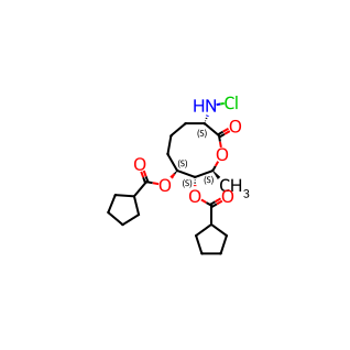 C[C@@H]1OC(=O)[C@@H](NCl)CCC[C@H](OC(=O)C2CCCC2)[C@H]1OC(=O)C1CCCC1